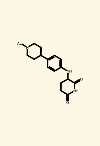 CC(=O)N1CCC(c2ccc(NC3CCC(=O)NC3=O)cc2)CC1